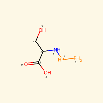 O=C(O)C(CO)NPP